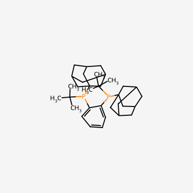 CC(C)(C)P(c1ccccc1P(C(C)(C)C)C12CC3CC(CC(C3)C1)C2)C12CC3CC(CC(C3)C1)C2